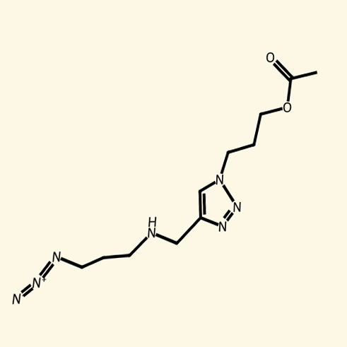 CC(=O)OCCCn1cc(CNCCCN=[N+]=[N-])nn1